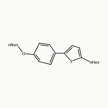 CCCCCCCCCOc1ccc(-c2ccc(CCCCCC)s2)cc1